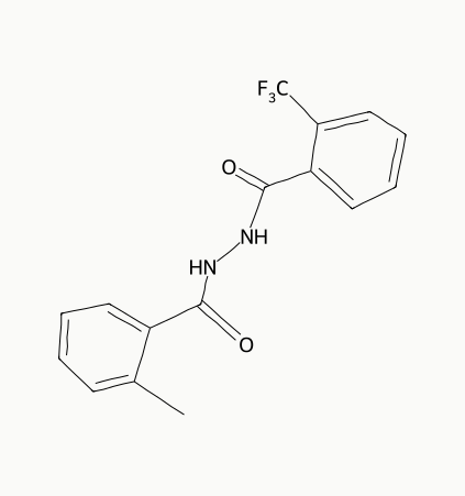 Cc1ccccc1C(=O)NNC(=O)c1ccccc1C(F)(F)F